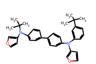 CC(C)(C)c1cccc(N(c2ccc(-c3ccc(N(c4ccoc4)C(C)(C)C)cc3)cc2)c2ccoc2)c1